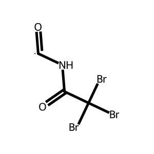 O=[C]NC(=O)C(Br)(Br)Br